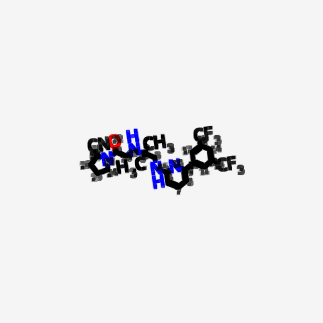 CC(C)(CNc1cccc(-c2cc(C(F)(F)F)cc(C(F)(F)F)c2)n1)NCC(=O)N1CCC[C@H]1C#N